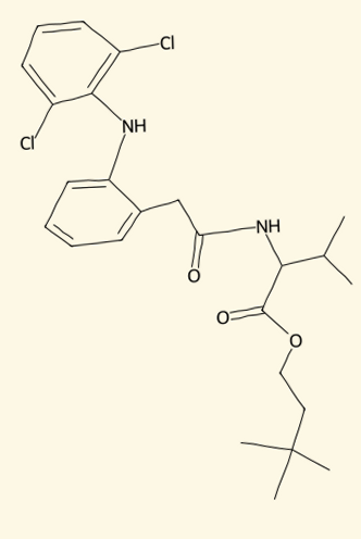 CC(C)C(NC(=O)Cc1ccccc1Nc1c(Cl)cccc1Cl)C(=O)OCCC(C)(C)C